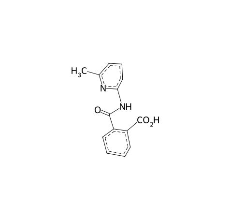 Cc1cccc(NC(=O)c2ccccc2C(=O)O)n1